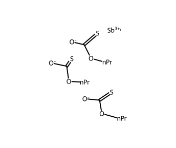 CCCOC([O-])=S.CCCOC([O-])=S.CCCOC([O-])=S.[Sb+3]